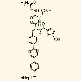 CCCCCCCOc1ccc(-c2cnc(-c3ccc(C[C@H](NC(=O)c4ccc(C(C)(C)C)s4)C(=O)N[C@@H](CC(=O)O)C(=O)NCC(N)=O)cc3)nc2)cc1